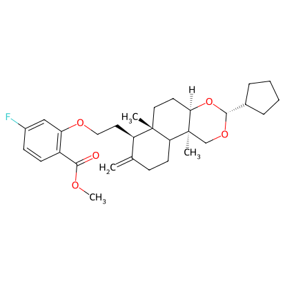 C=C1CCC2[C@]3(C)CO[C@@H](C4CCCC4)O[C@@H]3CC[C@@]2(C)[C@@H]1CCOc1cc(F)ccc1C(=O)OC